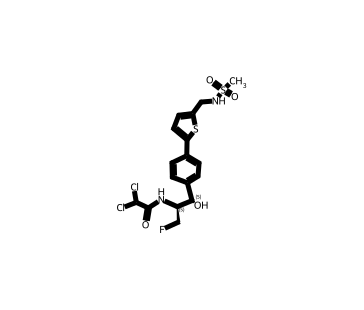 CS(=O)(=O)NCc1ccc(-c2ccc([C@H](O)[C@@H](CF)NC(=O)C(Cl)Cl)cc2)s1